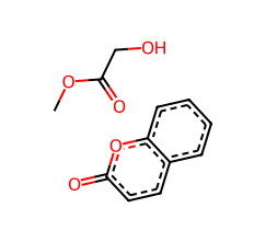 COC(=O)CO.O=c1ccc2ccccc2o1